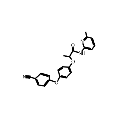 Cc1cccc(NC(=O)C(C)Oc2ccc(Oc3ccc(C#N)cc3)cc2)n1